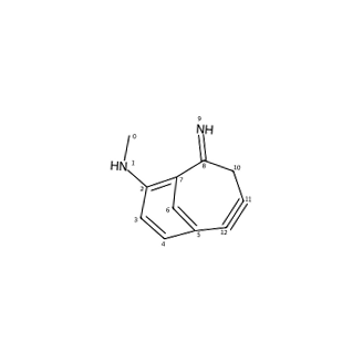 CNc1ccc2cc1C(=N)CC#C2